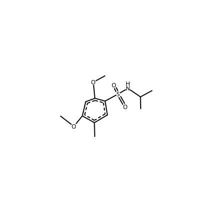 COc1cc(OC)c(S(=O)(=O)NC(C)C)cc1C